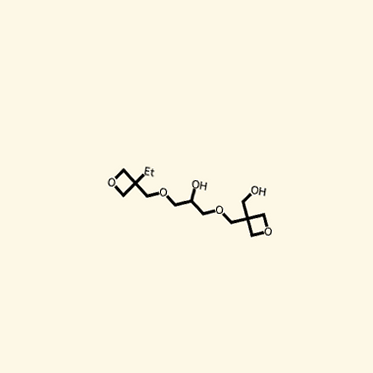 CCC1(COCC(O)COCC2(CO)COC2)COC1